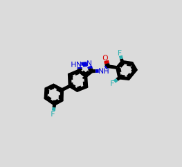 O=C(Nc1n[nH]c2cc(-c3cccc(F)c3)ccc12)c1c(F)cccc1F